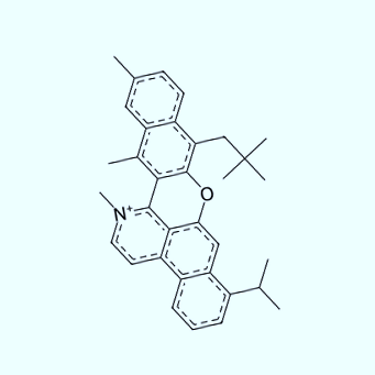 Cc1ccc2c(CC(C)(C)C)c3c(c(C)c2c1)-c1c2c(cc4c(C(C)C)cccc4c2cc[n+]1C)O3